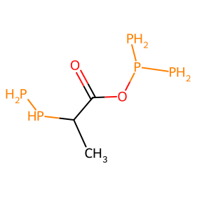 CC(PP)C(=O)OP(P)P